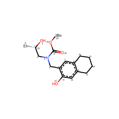 CC[C@H](O)CN(Cc1cc2c(cc1O)CCCC2)C(=O)OC(C)(C)C